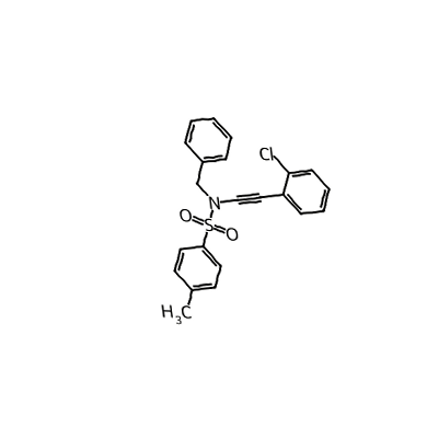 Cc1ccc(S(=O)(=O)N(C#Cc2ccccc2Cl)Cc2ccccc2)cc1